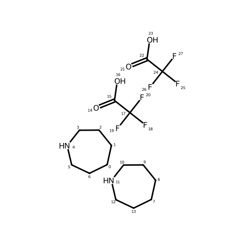 C1CCCNCC1.C1CCCNCC1.O=C(O)C(F)(F)F.O=C(O)C(F)(F)F